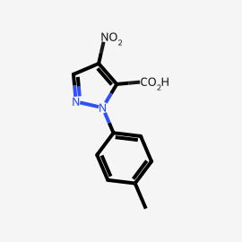 Cc1ccc(-n2ncc([N+](=O)[O-])c2C(=O)O)cc1